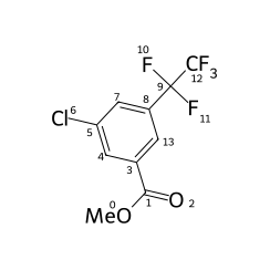 COC(=O)c1cc(Cl)cc(C(F)(F)C(F)(F)F)c1